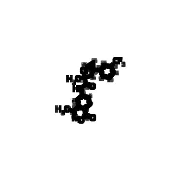 Cc1noc(=O)c2ccc(NC(=O)C(C)(O)CC3(c4cccc(C(F)(F)F)c4)CC3)cc12